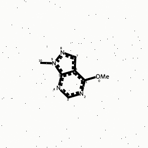 COc1ncnc2c1cnn2C